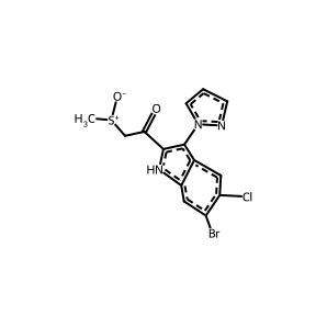 C[S+]([O-])CC(=O)c1[nH]c2cc(Br)c(Cl)cc2c1-n1cccn1